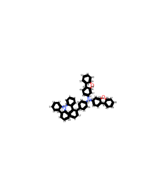 c1ccc(-c2ccccc2-n2c3ccccc3c3ccccc32)c(-c2ccc(N(c3ccc4c(c3)oc3ccccc34)c3ccc4c(c3)oc3ccccc34)cc2)c1